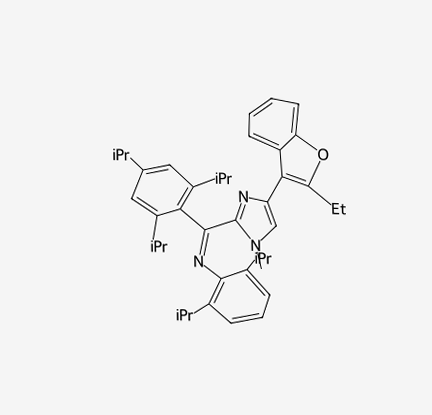 CCc1oc2ccccc2c1-c1cn(C)c(C(=Nc2c(C(C)C)cccc2C(C)C)c2c(C(C)C)cc(C(C)C)cc2C(C)C)n1